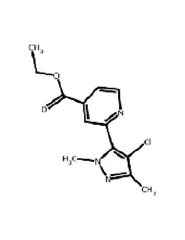 CCOC(=O)c1ccnc(-c2c(Cl)c(C)nn2C)c1